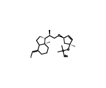 C[C@@H](CO[C@H]1C=C[C@@](C)(O[Si](C)(C)C(C)(C)C)C1)[C@H]1CCC2/C(=C/I)CCC[C@@]21C